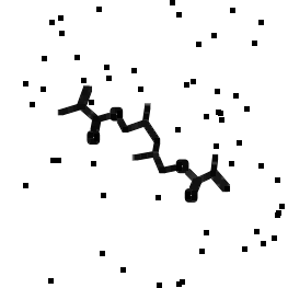 C=C(C)C(=O)OCC(C)CC(C)COC(=O)C(=C)C